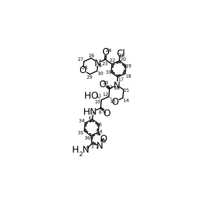 Nc1noc2cc(NC(=O)[C@H](O)[C@H]3OCCN(c4ccc(Cl)c(C(=O)N5CCOCC5)c4)C3=O)ccc12